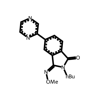 CCCCN1C(=O)c2ccc(-c3cnccn3)cc2C1=NOC